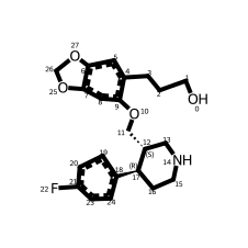 OCCCc1cc2c(cc1OC[C@@H]1CNCC[C@H]1c1ccc(F)cc1)OCO2